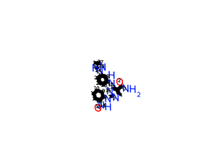 NC(=O)c1cnc(N[C@@H]2CCCC[C@@H]2N=O)nc1Nc1cccc(-n2nccn2)c1